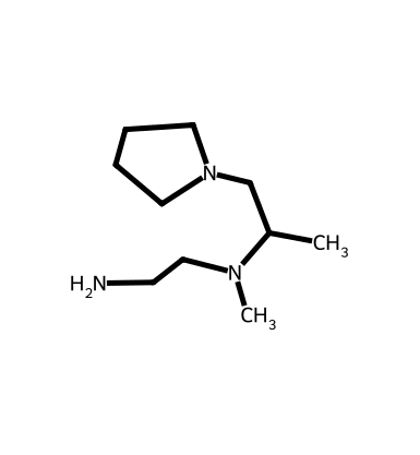 CC(CN1CCCC1)N(C)CCN